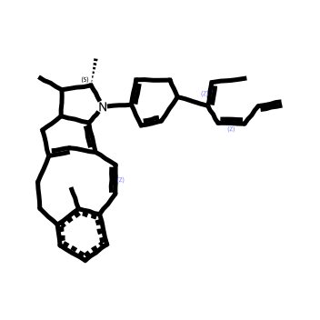 C=C/C=C\C(=C/C)C1C=CC(N2C3=C4C=C(CCc5cccc(c5C)/C=C\4)CC3C(C)[C@@H]2C)=CC1